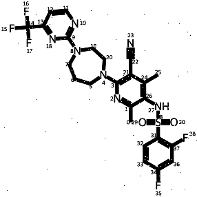 Cc1nc(N2CCCN(c3nccc(C(F)(F)F)n3)CC2)c(C#N)c(C)c1NS(=O)(=O)c1ccc(F)cc1F